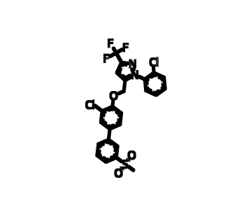 CS(=O)(=O)c1cccc(-c2ccc(OCc3cc(C(F)(F)F)nn3-c3ccccc3Cl)c(Cl)c2)c1